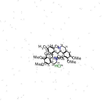 COc1cc2c(c(OC)c1OC)C(Cc1ccc(C)cc1C1c3c(cc(OC)c(OC)c3OC)CCN1C)N(C)CC2.Cl